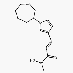 CN(O)C(=O)C=Cc1ccn(C2CCCCCC2)c1